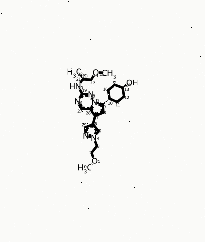 COCCn1cc(-c2cc([C@H]3CC[C@H](O)CC3)n3nc(N[C@@H](C)COC)ncc23)cn1